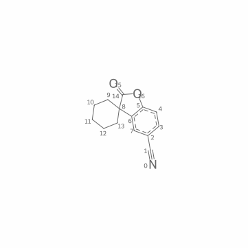 N#Cc1ccc2c(c1)C1(CCCCC1)C(=O)O2